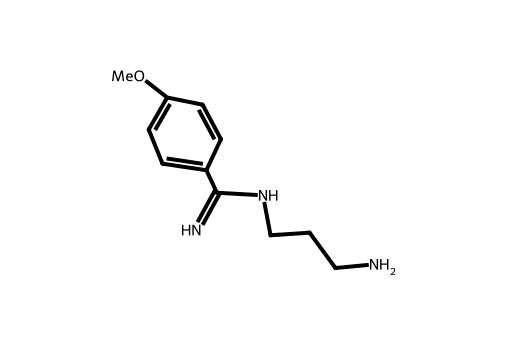 COc1ccc(C(=N)NCCCN)cc1